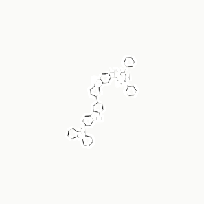 c1ccc(C2=NC(c3ccccc3)NC(c3ccc4sc5ccc(-c6ccc7oc8cc(-n9c%10ccccc%10c%10ccccc%109)ccc8c7c6)cc5c4c3)=N2)cc1